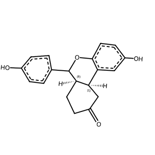 O=C1CC[C@H]2C(c3ccc(O)cc3)Oc3ccc(O)cc3[C@H]2C1